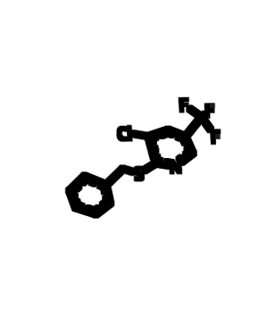 FC(F)(F)c1cnc(SCc2ccccc2)c(Cl)c1